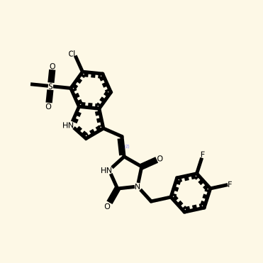 CS(=O)(=O)c1c(Cl)ccc2c(/C=C3\NC(=O)N(Cc4ccc(F)c(F)c4)C3=O)c[nH]c12